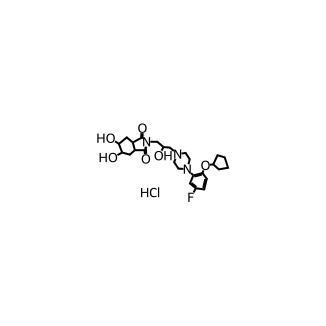 Cl.O=C1C2CC(O)C(O)CC2C(=O)N1CC(O)CN1CCN(c2cc(F)ccc2OC2CCCC2)CC1